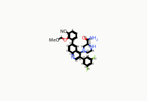 COCOc1c(C#N)cccc1-c1ccc2ncc(-c3cc(F)cc(F)c3)c(N3CCNC(C(N)=O)C3)c2c1